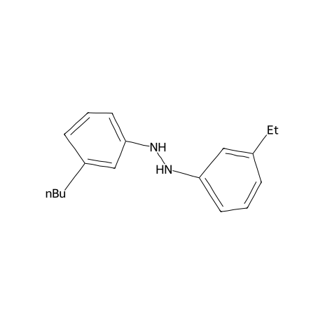 CCCCc1cccc(NNc2cccc(CC)c2)c1